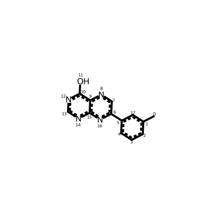 Cc1cccc(-c2cnc3c(O)ncnc3n2)c1